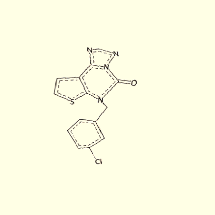 O=c1n(Cc2cccc(Cl)c2)c2sccc2c2ncnn12